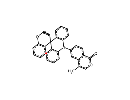 Cc1coc(=O)c2ccc(N3c4ccccc4C4(c5ccccc5Oc5ccccc54)c4ccccc43)cc12